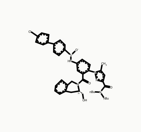 CCCCN(CCCC)C(=O)c1cc(C)n(-c2ccc(N[S+]([O-])c3ccc(-c4ccc(Cl)cc4)cc3)cc2C(=O)N2Cc3ccccc3C[C@H]2CO)n1